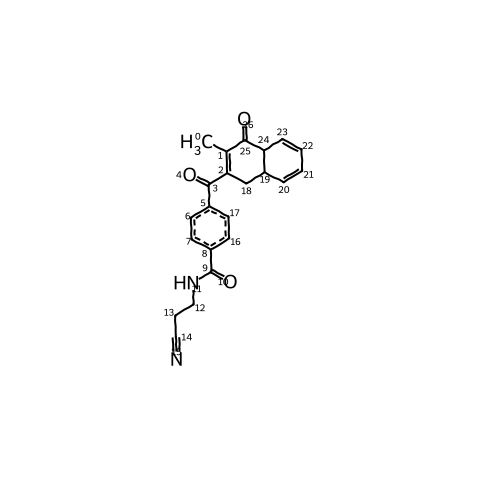 CC1=C(C(=O)c2ccc(C(=O)NCCC#N)cc2)CC2C=CC=CC2C1=O